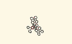 C1#CC(c2ccc(N(C3=C(N(c4ccc(-c5ccccc5)cc4)c4ccc5c(c4)C4(C6=C(C=CCC6)c6ccccc64)c4ccccc4-5)C=CCC3)c3ccc4c(c3)C3(C5=C(CCC=C5)c5ccccc53)c3ccccc3-4)cc2)CC=C1